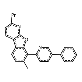 Cc1ccc2c(oc3nc(C(C)C)ccc32)c1-c1ccc(-c2ccccc2)cn1